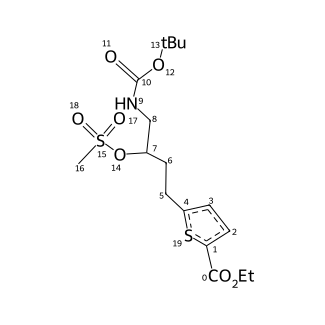 CCOC(=O)c1ccc(CCC(CNC(=O)OC(C)(C)C)OS(C)(=O)=O)s1